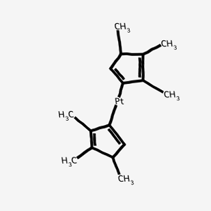 CC1=C(C)C(C)C=[C]1[Pt][C]1=CC(C)C(C)=C1C